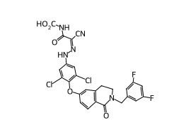 N#CC(=NNc1cc(Cl)c(Oc2ccc3c(c2)CCN(Cc2cc(F)cc(F)c2)C3=O)c(Cl)c1)C(=O)NC(=O)O